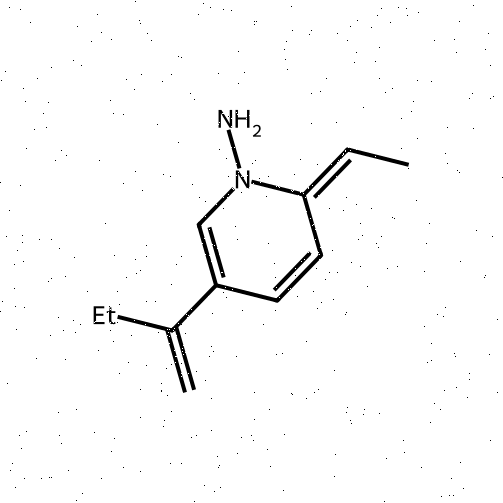 C=C(CC)C1=CN(N)/C(=C/C)C=C1